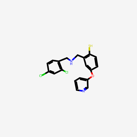 Sc1ccc(Oc2cccnc2)cc1CNCc1ccc(Cl)cc1Cl